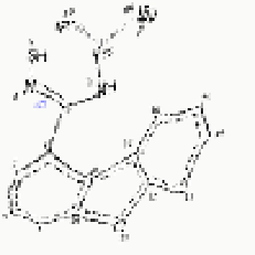 CC[C@@H](C)[C@H](N/C(=N\S)c1cccc2oc3ccccc3c12)C(C)C